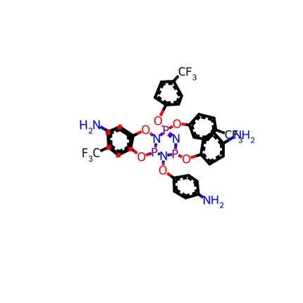 Nc1ccc(ON2P(Oc3ccc(N)cc3)N=P(Oc3ccc(C(F)(F)F)cc3)(Oc3ccc(C(F)(F)F)cc3)N(Oc3ccc(C(F)(F)F)cc3)P2Oc2ccc(N)cc2)cc1